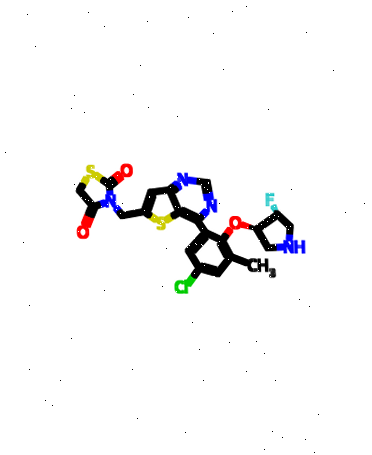 Cc1cc(Cl)cc(-c2ncnc3cc(CN4C(=O)CSC4=O)sc23)c1O[C@@H]1CNC[C@@H]1F